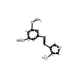 BOc1cc(/C=C/c2cscc2C)cc(OC)c1